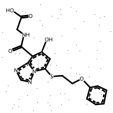 O=C(O)CNC(=O)c1c(O)cc(SCCOc2ccccc2)n2ncnc12